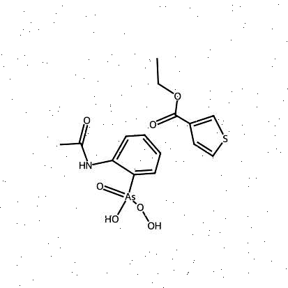 CC(=O)Nc1ccccc1[As](=O)(O)OO.CCOC(=O)c1ccsc1